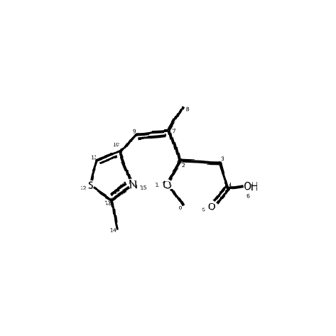 COC(CC(=O)O)C(C)=Cc1csc(C)n1